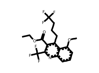 CCOC(=O)c1c(C(F)(F)F)nc2cccc(OC)c2c1CCCC(F)(F)F